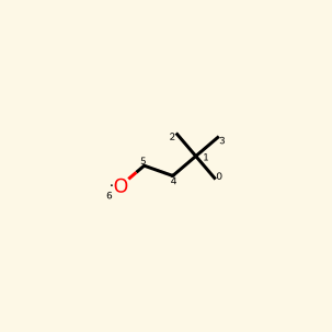 CC(C)(C)CC[O]